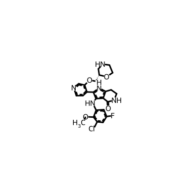 COc1c(Cl)cc(F)cc1Nc1c(-c2ccncc2OC[C@@H]2CNCCO2)[nH]c2c1C(=O)NCC2